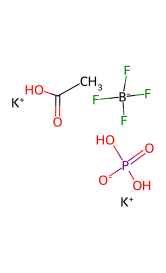 CC(=O)O.F[B-](F)(F)F.O=P([O-])(O)O.[K+].[K+]